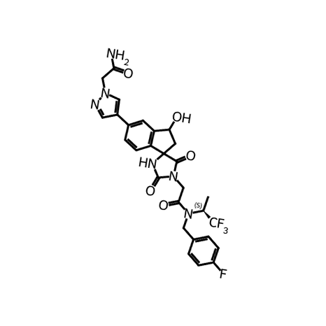 C[C@H](N(Cc1ccc(F)cc1)C(=O)CN1C(=O)NC2(CC(O)c3cc(-c4cnn(CC(N)=O)c4)ccc32)C1=O)C(F)(F)F